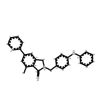 Cc1cc(-c2ccccn2)cc2c1C(=O)N(Cc1ccc(Oc3ccccc3)cc1)C2